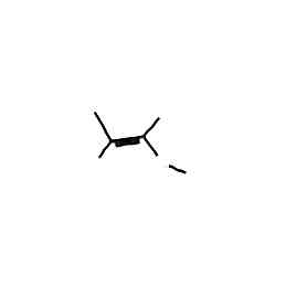 CN/C(Cl)=C(\C)F